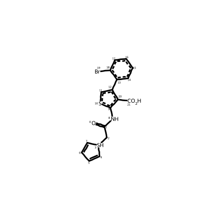 O=C(C[SH]1C=CC=C1)Nc1scc(-c2ccccc2Br)c1C(=O)O